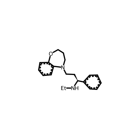 CCN[C@@H](CCN1CCCOc2ccccc21)c1ccccc1